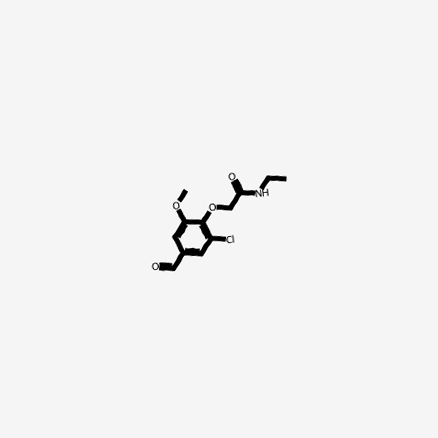 CCNC(=O)COc1c(Cl)cc(C=O)cc1OC